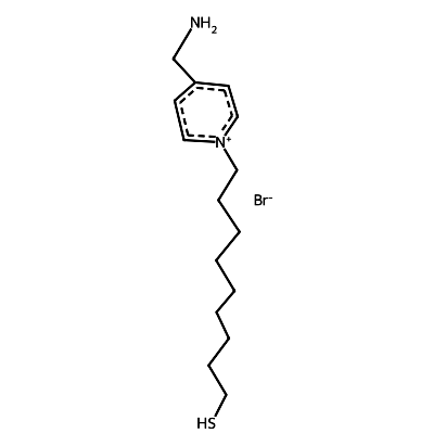 NCc1cc[n+](CCCCCCCCCS)cc1.[Br-]